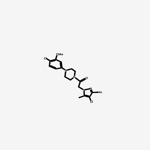 COc1cc(N2CCN(C(=O)Cn3nc(C(C)=O)c(Cl)c3C)CC2)ccc1Cl